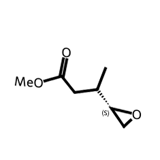 COC(=O)CC(C)[C@H]1CO1